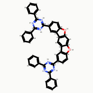 c1ccc(-c2nc(-c3ccccc3)nc(-c3ccc4oc5cc6oc7ccc(-c8nc(-c9ccccc9)nc(-c9ccccc9)n8)cc7c6cc5c4c3)n2)cc1